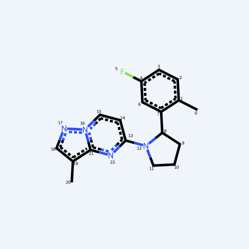 Cc1ccc(F)cc1C1CCCN1c1ccn2ncc(C)c2n1